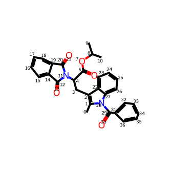 Cc1c(CC(C(=O)OC(C)C)N2C(=O)c3ccccc3C2=O)c2ccccc2n1C(=O)c1ccccc1